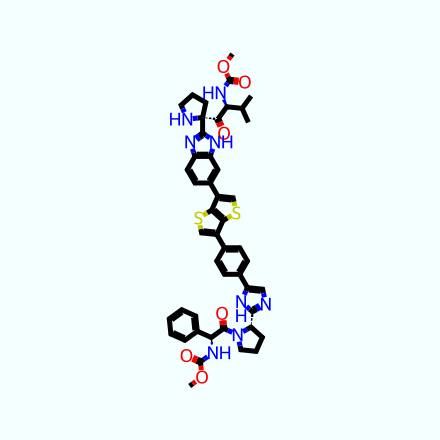 COC(=O)N[C@H](C(=O)[C@@]1(c2nc3ccc(-c4csc5c(-c6ccc(-c7cnc([C@@H]8CCCN8C(=O)[C@H](NC(=O)OC)c8ccccc8)[nH]7)cc6)csc45)cc3[nH]2)CCCN1)C(C)C